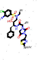 CC(=O)Nc1nc(CN2C(=O)CN([C@H](C(=O)N[C@@H](Cc3ccccc3)[C@H](O)CN(CC(C)C)S(=O)(=O)c3ccc(Cl)c(N)c3)C(C)C)C2=O)cs1